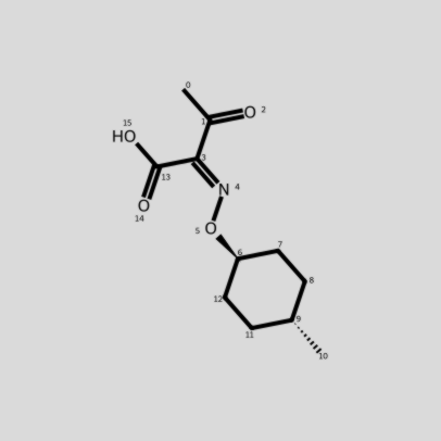 CC(=O)C(=NO[C@H]1CC[C@H](C)CC1)C(=O)O